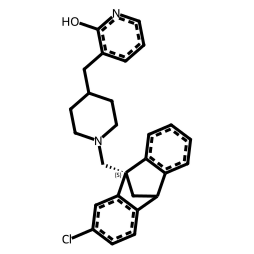 Oc1ncccc1CC1CCN(C[C@@]23CC(c4ccccc42)c2ccc(Cl)cc23)CC1